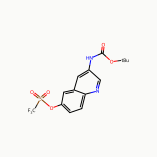 CC(C)(C)OC(=O)Nc1cnc2ccc(OS(=O)(=O)C(F)(F)F)cc2c1